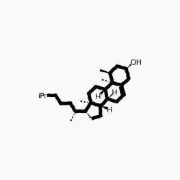 CC(C)CCC[C@@H](C)[C@H]1CC[C@H]2[C@@H]3CC=C4C[C@@H](O)C[C@H](C)[C@]4(C)[C@H]3CC[C@]12C